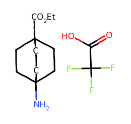 CCOC(=O)C12CCC(N)(CC1)CC2.O=C(O)C(F)(F)F